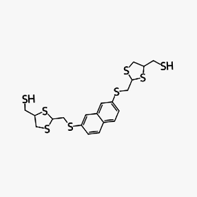 SCC1CSC(CSc2ccc3ccc(SCC4SCC(CS)S4)cc3c2)S1